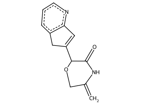 C=C1COC(C2=Cc3ncccc3C2)C(=O)N1